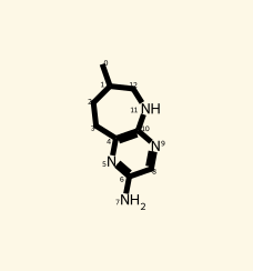 CC1CCc2nc(N)cnc2NC1